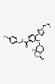 O=C(NCc1ccc(Cl)cc1)c1cc(O[C@H]2CCN3C(=O)OC[C@@H]3C2)c(-c2ccn(CC(F)(F)F)n2)cn1